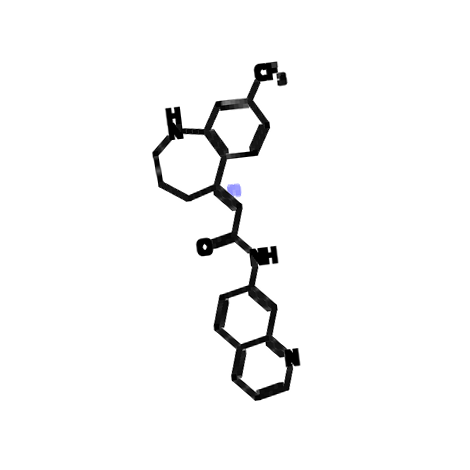 O=C(/C=C1\CCCNc2cc(C(F)(F)F)ccc21)Nc1ccc2cccnc2c1